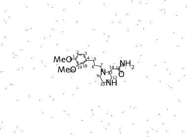 COc1ccc(CCCN2CCNCC2CC(N)=O)cc1OC